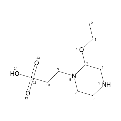 CCOC1CNCCN1CCS(=O)(=O)O